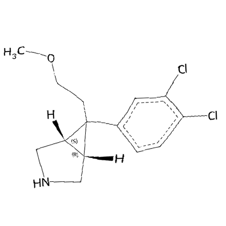 COCCC1(c2ccc(Cl)c(Cl)c2)[C@@H]2CNC[C@@H]21